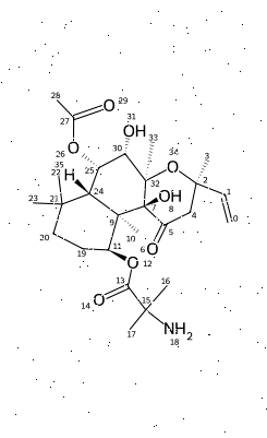 C=C[C@@]1(C)CC(=O)[C@]2(O)[C@@]3(C)[C@@H](OC(=O)C(C)(C)N)CCC(C)(C)[C@@H]3[C@H](OC(C)=O)[C@H](O)[C@@]2(C)O1